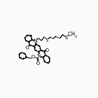 CSCCCCCSCCCn1c2ccccc2c(=O)c2cc3c(cc21)c(=O)c1ccccc1n3C(=O)OCc1ccccc1